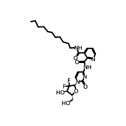 CCCCCCCCCCCNC(=O)c1cccnc1C(=O)Nc1ccn([C@@H]2O[C@H](CO)[C@@H](O)C2(F)F)c(=O)n1